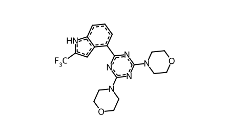 FC(F)(F)c1cc2c(-c3nc(N4CCOCC4)nc(N4CCOCC4)n3)cccc2[nH]1